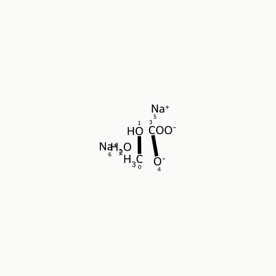 CO.O.O=C([O-])[O-].[Na+].[Na+]